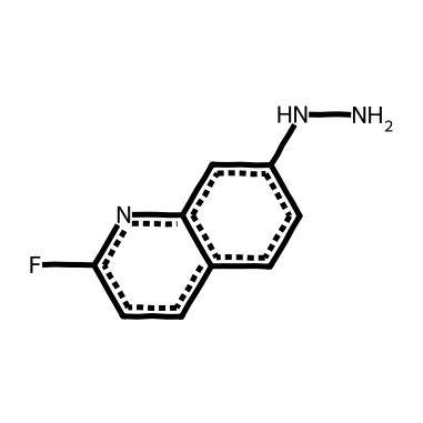 NNc1ccc2ccc(F)nc2c1